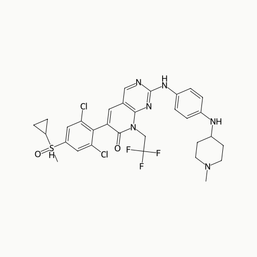 CN1CCC(Nc2ccc(Nc3ncc4cc(-c5c(Cl)cc([SH](C)(=O)C6CC6)cc5Cl)c(=O)n(CC(F)(F)F)c4n3)cc2)CC1